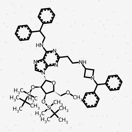 COC[C@H]1O[C@@H](n2cnc3c(NCC(c4ccccc4)c4ccccc4)nc(CCNC4CN(C(c5ccccc5)c5ccccc5)C4)nc32)[C@H](O[Si](C)(C)C(C)(C)C)[C@@H]1O[Si](C)(C)C(C)(C)C